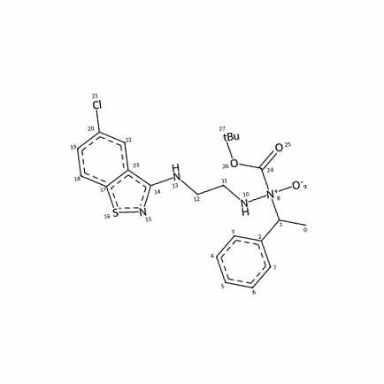 CC(c1ccccc1)[N+]([O-])(NCCNc1nsc2ccc(Cl)cc12)C(=O)OC(C)(C)C